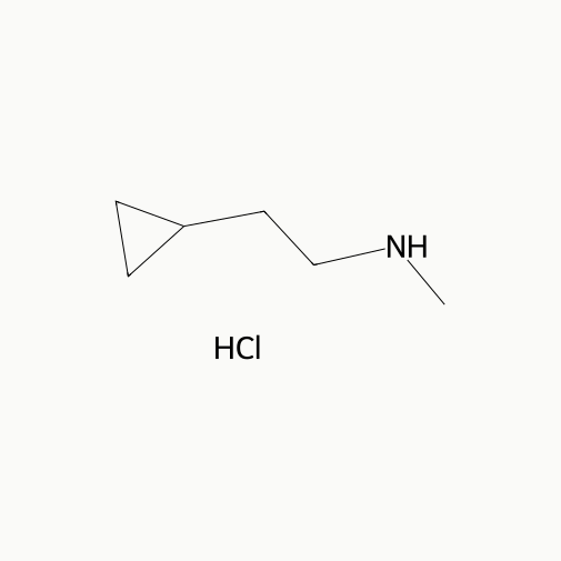 CNCCC1CC1.Cl